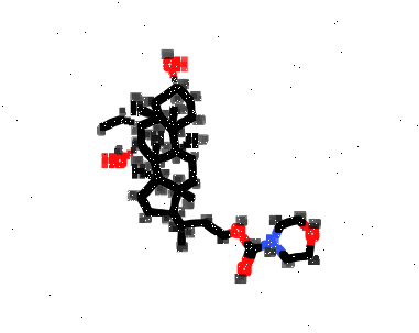 CC[C@H]1[C@@H](O)[C@@H]2[C@H](CC[C@]3(C)[C@@H]([C@H](C)CCOC(=O)N4CCOCC4)CC[C@@H]23)[C@@]2(C)CC[C@@H](O)C[C@@H]12